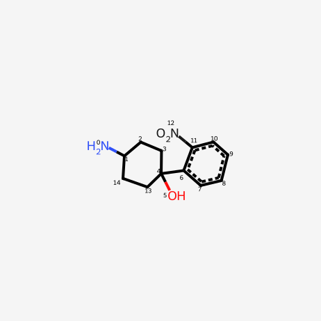 NC1CCC(O)(c2ccccc2[N+](=O)[O-])CC1